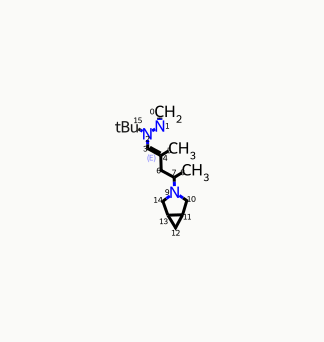 C=NN(/C=C(\C)CC(C)N1CC2CC2C1)C(C)(C)C